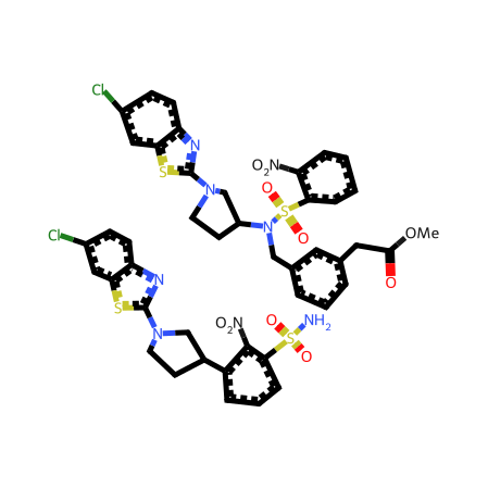 COC(=O)Cc1cccc(CN(C2CCN(c3nc4ccc(Cl)cc4s3)C2)S(=O)(=O)c2ccccc2[N+](=O)[O-])c1.NS(=O)(=O)c1cccc(C2CCN(c3nc4ccc(Cl)cc4s3)C2)c1[N+](=O)[O-]